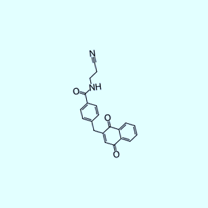 N#CCCNC(=O)c1ccc(CC2=CC(=O)c3ccccc3C2=O)cc1